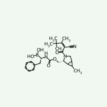 C/C(=C(\C#N)C(=O)N1CC2C(C)C2[C@@H]1COC(=O)N[C@@H](Cc1ccccc1)B(O)O)C(C)(C)C